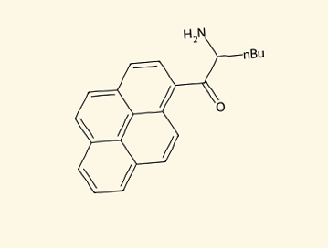 [CH2]CCCC(N)C(=O)c1ccc2ccc3cccc4ccc1c2c34